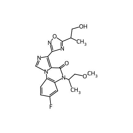 COCC(C)n1c(=O)c2c(-c3noc(C(C)CO)n3)ncn2c2ccc(F)cc21